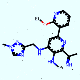 CCOc1ncccc1-c1cc(NCc2ncn(C)n2)c(NC(C)C)c(C(C)=N)n1